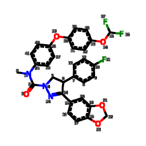 CN(C(=O)N1CC(c2ccc(F)cc2)C(c2ccc3c(c2)OCO3)=N1)c1ccc(Oc2ccc(OC(F)F)cc2)cc1